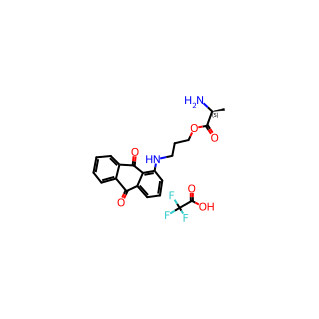 C[C@H](N)C(=O)OCCCNc1cccc2c1C(=O)c1ccccc1C2=O.O=C(O)C(F)(F)F